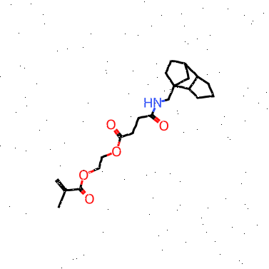 C=C(C)C(=O)OCCOC(=O)CCC(=O)NCC12CCC(C1)C1CCCC12